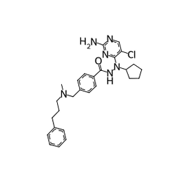 CN(CCCc1ccccc1)Cc1ccc(C(=O)NN(c2nc(N)ncc2Cl)C2CCCC2)cc1